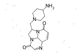 NC1CCN(CC2CN3C(=O)C=NC4C=CC(=O)N2C43)CC1